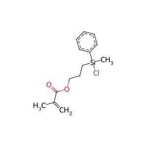 C=C(C)C(=O)OCCC[Si](C)(Cl)c1ccccc1